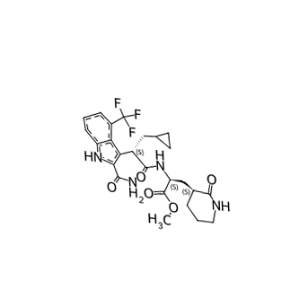 COC(=O)[C@H](C[C@@H]1CCCNC1=O)NC(=O)[C@@H](CC1CC1)c1c(C(N)=O)[nH]c2cccc(C(F)(F)F)c12